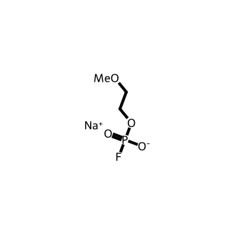 COCCOP(=O)([O-])F.[Na+]